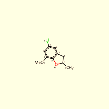 [CH2]C1Cc2cc(Cl)cc(OC)c2O1